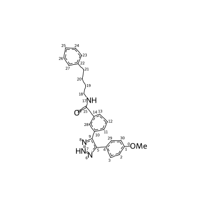 COc1ccc(-c2n[nH]nc2-c2cccc(C(=O)NCCCCc3ccccc3)c2)cc1